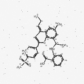 C=C(/C=C\C(=C/C)C1=C/C(=C/CC)c2cc(C)cc(C(C)Nc3ccccc3C(=O)O)c2O1)S(C)(=O)=O